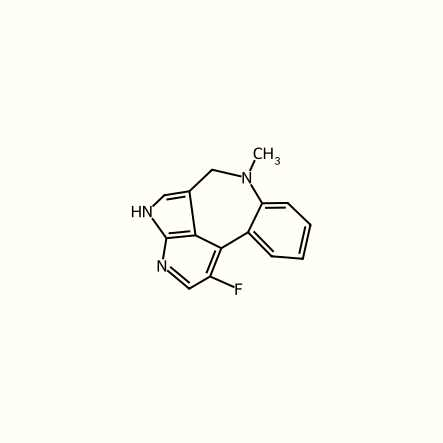 CN1Cc2c[nH]c3ncc(F)c(c23)-c2ccccc21